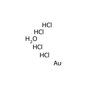 Cl.Cl.Cl.Cl.O.[Au]